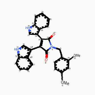 COc1ccc(CN2C(=O)C(c3c[nH]c4ccccc34)=C(c3c[nH]c4ccccc34)C2=O)c(OC)c1